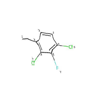 Cc1ccc(Cl)c(F)c1Cl